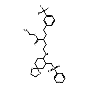 CCOC(=O)C(CCNC1CCC2(CC1CS(=O)(=O)c1ccccc1)OCCO2)CCc1cccc(C(F)(F)F)c1